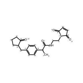 CC(C(=O)NCCN1C(=O)C=CC1=O)c1ccc(CC2CCCC2=O)cc1